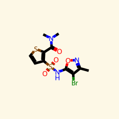 Cc1noc(NS(=O)(=O)c2ccsc2C(=O)N(C)C)c1Br